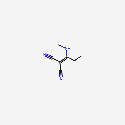 CCC(NC)=C(C#N)C#N